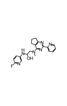 CN(CC(O)Nc1ccc(F)nc1)c1nc(-c2ccccn2)nc2c1CCC2